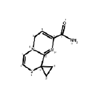 NC(=O)C1=CCN2C=CSC3(CC3)C2=N1